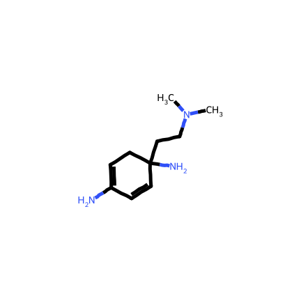 CN(C)CCC1(N)C=CC(N)=CC1